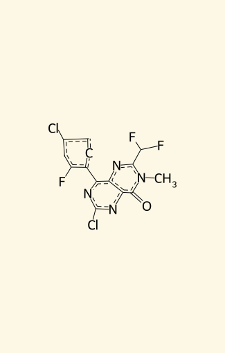 Cn1c(C(F)F)nc2c(-c3ccc(Cl)cc3F)nc(Cl)nc2c1=O